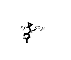 Cc1cc([C@@H](CC(=O)O)C2(C(F)(F)F)CC2)cs1